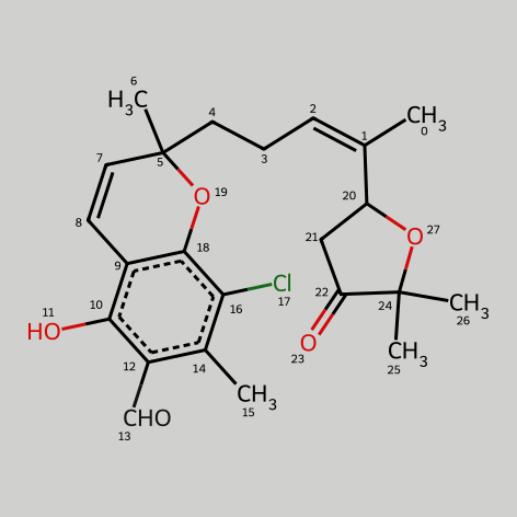 CC(=CCCC1(C)C=Cc2c(O)c(C=O)c(C)c(Cl)c2O1)C1CC(=O)C(C)(C)O1